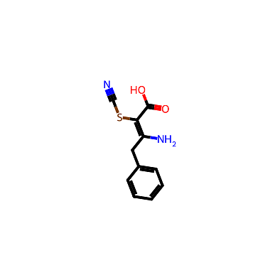 N#CS/C(C(=O)O)=C(/N)Cc1ccccc1